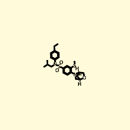 CCc1ccc(N(CC(C)C)S(=O)(=O)c2ccc(N3C[C@H]4C[C@@H]3CO4)c(SC)c2)cc1